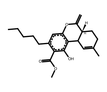 C=C1Oc2cc(CCCCC)c(C(=O)OC)c(O)c2C2C=C(C)CC[C@@H]12